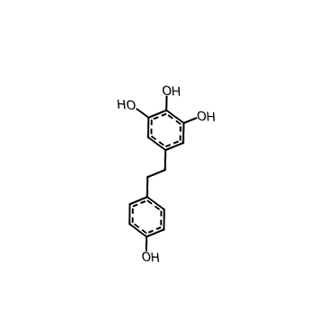 Oc1ccc(CCc2cc(O)c(O)c(O)c2)cc1